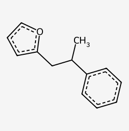 CC(Cc1ccco1)c1ccccc1